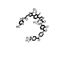 Cc1nn(CC(=O)Nc2ccc(C#N)nc2)cc1-c1ccc(-c2cnc(C(=O)Nc3ccc(C(=O)N4CCN(C(=O)C5CC[N+](C)(C)CC5)CC4)c(Cl)c3)n2C)c(F)c1F